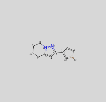 c1cc(-c2cc3n(n2)CCCC3)cs1